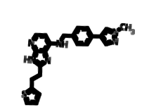 Cn1cc(-c2ccc(CNc3ccnc4[nH]c(CCc5cccs5)nc34)cc2)cn1